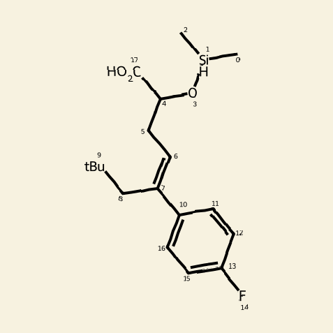 C[SiH](C)OC(CC=C(CC(C)(C)C)c1ccc(F)cc1)C(=O)O